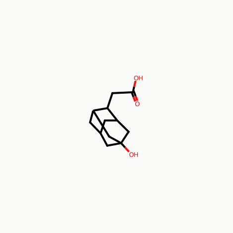 O=C(O)CC1C2CC3CC1CC(O)(C3)C2